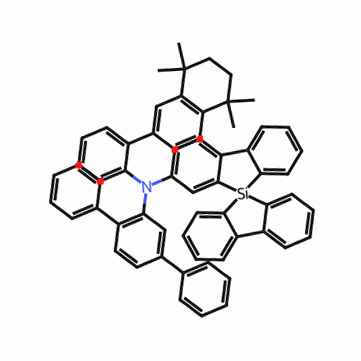 CC1(C)CCC(C)(C)c2cc(-c3ccccc3N(c3ccc4c(c3)[Si]3(c5ccccc5-c5ccccc53)c3ccccc3-4)c3cc(-c4ccccc4)ccc3-c3ccccc3)ccc21